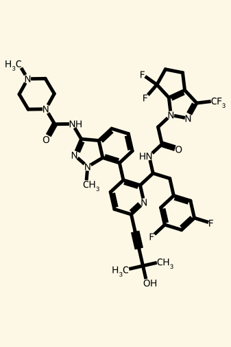 CN1CCN(C(=O)Nc2nn(C)c3c(-c4ccc(C#CC(C)(C)O)nc4C(Cc4cc(F)cc(F)c4)NC(=O)Cn4nc(C(F)(F)F)c5c4C(F)(F)CC5)cccc23)CC1